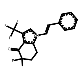 O=C1c2c(C(F)(F)F)cn(/C=C/c3ccccc3)c2CCC1(F)F